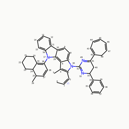 C/C=C\c1c(C)c2c(ccc3c4ccccc4n(C4=C5CCCCC5C(C)C=C4)c32)n1C1=NC(c2ccccc2)CC(C2=CC=CC=CC2)=N1